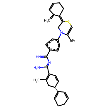 C=C1C=CCC/C1=C1/CN(c2ccc(C(=N)/N=C(\N)C3=C(C)C[C@@H](C4=CCCC=C4)C=C3)cc2)C(CCC)=CS1